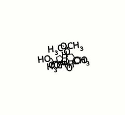 COC(C)=O.C[C@]12C=CC(=O)C=C1CC[C@@H]1[C@@H]2C(=O)C[C@@]2(C)[C@H]1CC[C@]2(O)C(=O)CO